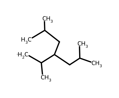 [CH2]C(C)C(CC(C)C)CC(C)C